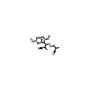 CC(C#N)CN=NC(C(C)C#N)C1N2CN(CN(N=O)C2)CN1N=O